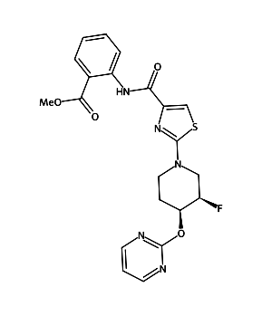 COC(=O)c1ccccc1NC(=O)c1csc(N2CC[C@H](Oc3ncccn3)[C@H](F)C2)n1